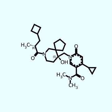 C[C@H](CC1CCC1)C(=O)N1CC[C@@](O)(Cn2cc(C(=O)N(C)C)c(C3CC3)cc2=O)C2(CCCC2)C1